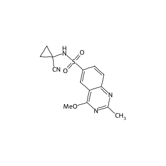 COc1nc(C)nc2ccc(S(=O)(=O)NC3(C#N)CC3)cc12